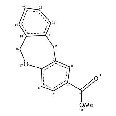 COC(=O)c1ccc2c(c1)Cc1ccccc1CO2